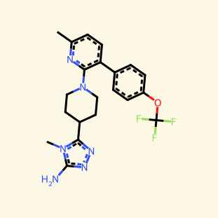 Cc1ccc(-c2ccc(OC(F)(F)F)cc2)c(N2CCC(c3nnc(N)n3C)CC2)n1